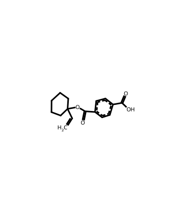 C=CC1(OC(=O)c2ccc(C(=O)O)cc2)CCCCC1